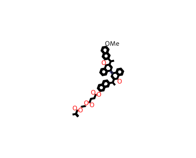 C=C(C)C(=O)OCCOC(=O)CCC(=O)Oc1ccc2ccc(C(C)C3=C/C(=C4/C=C(C(C)c5ccc6ccc(OC)cc6c5)C(=O)c5ccccc54)c4ccccc4C3=O)cc2c1